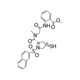 COC(=O)c1ccccc1NC(=O)CN(C)C(=O)[C@@H]1C[C@@H](S)CN1S(=O)(=O)c1ccc2ccccc2c1